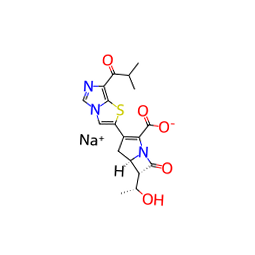 CC(C)C(=O)c1ncn2cc(C3=C(C(=O)[O-])N4C(=O)[C@H]([C@@H](C)O)[C@H]4C3)sc12.[Na+]